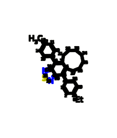 CCc1ccc(-c2c3c(c(-c4ccc(C)cc4)c4nsnc24)CCCCCCC3)cc1